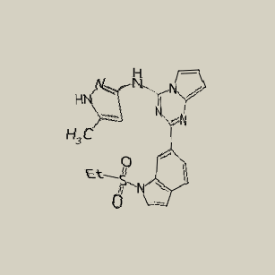 CCS(=O)(=O)n1ccc2ccc(-c3nc(Nc4cc(C)[nH]n4)n4cccc4n3)cc21